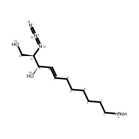 CCCCCCCCCCCCCCC/C=C/[C@H](O)[C@@H](CO)N=[N+]=[N-]